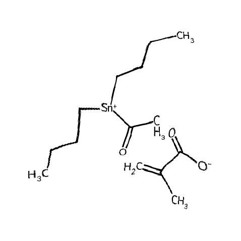 C=C(C)C(=O)[O-].CCC[CH2][Sn+]([CH2]CCC)[C](C)=O